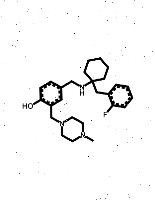 CN1CCN(Cc2cc(CNC3(Cc4ccccc4F)CCCCC3)ccc2O)CC1